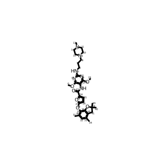 COc1nc(NCCCN2CCN(C)CC2)nc(OC)c1NC(=O)c1ccc(Oc2c(C)cc(C)c3c2OC(C)(C)C3)o1